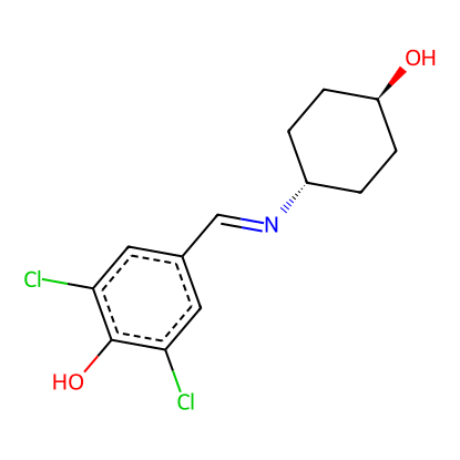 Oc1c(Cl)cc(C=N[C@H]2CC[C@H](O)CC2)cc1Cl